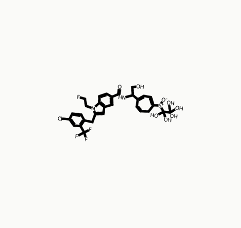 O=C(NC(CO)C1=CC=C([S+]([O-])C(O)(O)C(O)(O)O)CC=C1)c1ccc2c(c1)cc(Cc1ccc(Cl)cc1C(F)(F)F)n2CCF